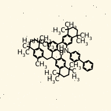 CCCCCCc1cc(-c2cc3c(cc2Nc2ccc(-c4ccccc4)cc2)C(C)(C)CCC3(C)C)c2c(c1)C(Cc1cc3c(cc1C)C(C)(C)CCC3(C)C)c1cc3c(cc1B2)C(C)(C)CCC3(C)C